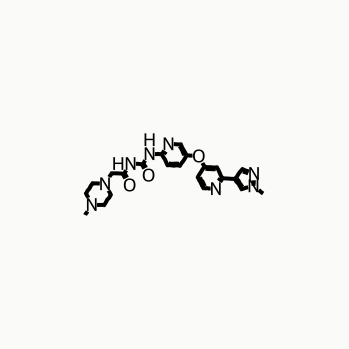 CN1CCN(CC(=O)NC(=O)Nc2ccc(Oc3ccnc(-c4cnn(C)c4)c3)cn2)CC1